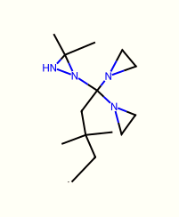 [CH2]CC(C)(C)CC(N1CC1)(N1CC1)N1NC1(C)C